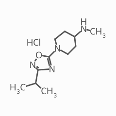 CNC1CCN(c2nc(C(C)C)no2)CC1.Cl